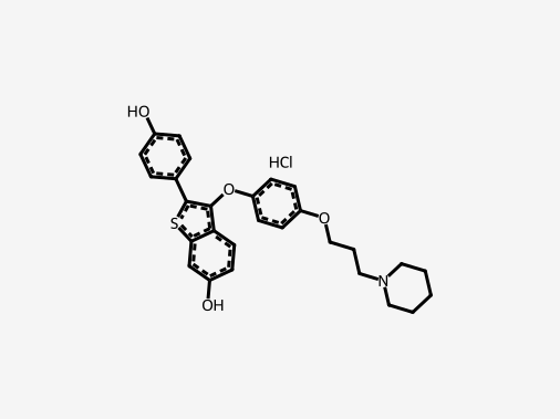 Cl.Oc1ccc(-c2sc3cc(O)ccc3c2Oc2ccc(OCCCN3CCCCC3)cc2)cc1